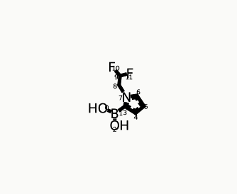 OB(O)c1cccn1CC(F)F